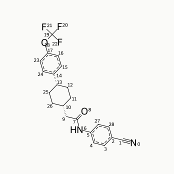 N#Cc1ccc(NC(=O)C[C@H]2CC[C@@H](c3ccc(OC(F)(F)F)cc3)CC2)cc1